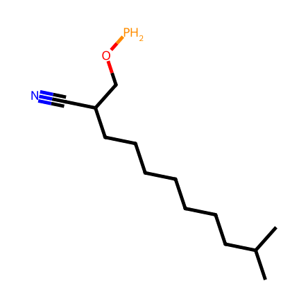 CC(C)CCCCCCCC(C#N)COP